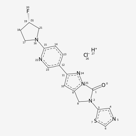 O=C1N(c2cncs2)Cc2cc(-c3ccc(N4CC[C@H](F)C4)nc3)nn21.[Cl-].[H+]